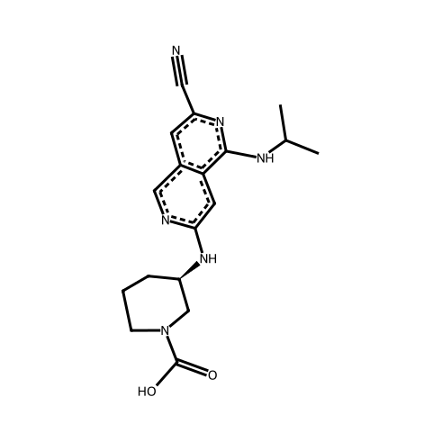 CC(C)Nc1nc(C#N)cc2cnc(N[C@@H]3CCCN(C(=O)O)C3)cc12